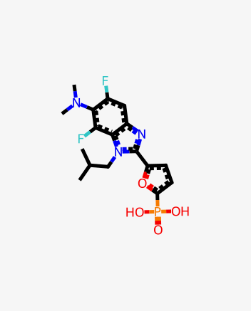 CC(C)Cn1c(-c2ccc(P(=O)(O)O)o2)nc2cc(F)c(N(C)C)c(F)c21